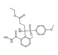 CCOC(=O)CCC(N)(c1c(C)cccc1C(=O)NO)S(=O)(=O)c1ccc(OC)cc1